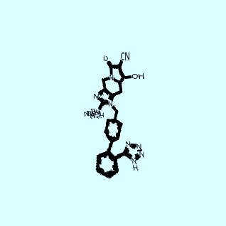 CCCCc1nc2c(n1Cc1ccc(-c3ccccc3-c3nnn[nH]3)cc1)CC1C(O)=C(C#N)C(=O)N1C2.[NaH].[NaH]